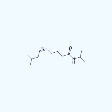 CC(C)C/C=C\CCCC(=O)NC(C)C